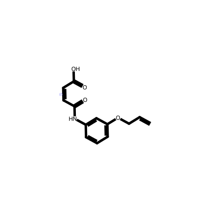 C=CCOc1cccc(NC(=O)/C=C\C(=O)O)c1